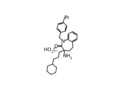 CC(C)c1ccc(CN2C(=O)C(N)([C@H](CCC3CCCCC3)C(=O)O)CCc3ccccc32)cc1